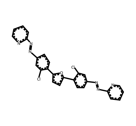 Clc1cc(N=Nc2ccccn2)ccc1-c1ccc(-c2ccc(N=Nc3ccccn3)cc2Cl)o1